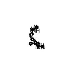 Cn1cnc(-c2nnc3c4cc(-c5ccccc5)c(-c5ccc(CN6CCC(c7nnc(-c8ccccn8)[nH]7)CC6)cc5)nc4ccn23)c1